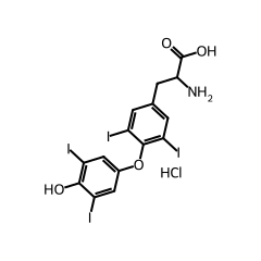 Cl.NC(Cc1cc(I)c(Oc2cc(I)c(O)c(I)c2)c(I)c1)C(=O)O